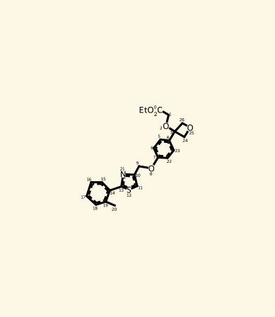 CCOC(=O)COC1(c2ccc(OCc3csc(-c4ccccc4C)n3)cc2)COC1